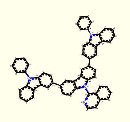 c1ccc(-n2c3ccccc3c3cc(-c4ccc5c(c4)c4cc(-c6ccc7c(c6)c6ccccc6n7-c6ccccc6)ccc4n5-c4nccc5ccccc45)ccc32)cc1